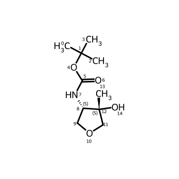 CC(C)(C)OC(=O)N[C@H]1COC[C@@]1(C)O